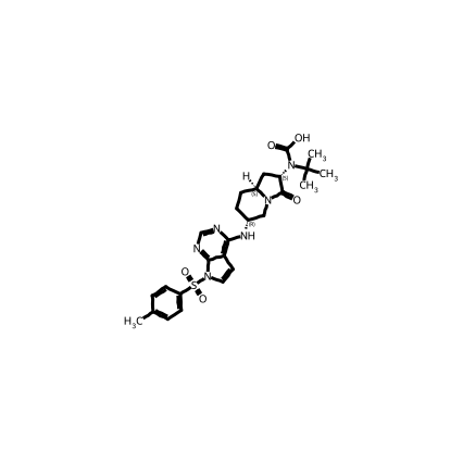 Cc1ccc(S(=O)(=O)n2ccc3c(N[C@@H]4CC[C@H]5C[C@H](N(C(=O)O)C(C)(C)C)C(=O)N5C4)ncnc32)cc1